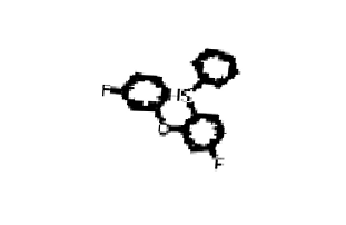 Fc1ccc2c(c1)Oc1cc(F)ccc1[SH]2c1ccccc1